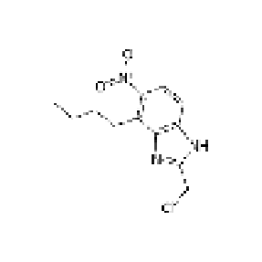 CCCCc1c([N+](=O)[O-])ccc2[nH]c(CCl)nc12